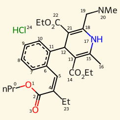 CCCOC(=O)C(=Cc1ccccc1C1C(C(=O)OCC)=C(C)NC(CNC)=C1C(=O)OCC)CC.Cl